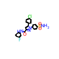 NS(=O)(=O)c1ccc(-n2nc(C(=O)Nc3cccc(F)c3)cc2-c2ccc(Cl)cc2)cc1